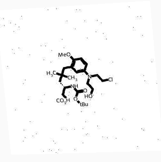 COc1ccc(N(CCO)CCCl)cc1CC(C)(C)C[C@@H](CC(=O)O)NC(=O)OC(C)(C)C